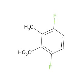 Cc1c(F)ccc(F)c1C(=O)O